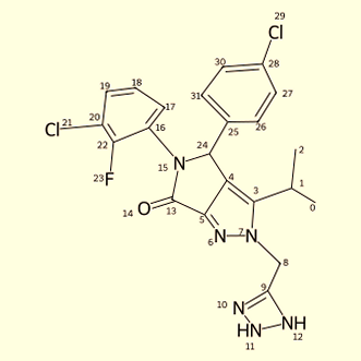 CC(C)c1c2c(nn1Cc1n[nH][nH]1)C(=O)N(c1cccc(Cl)c1F)C2c1ccc(Cl)cc1